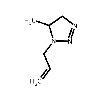 C=CCN1N=NCC1C